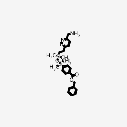 C[Si](C)(CCc1ccc(CN)nn1)O[Si](C)(C)c1ccc(C(=O)OCc2ccccc2)cc1